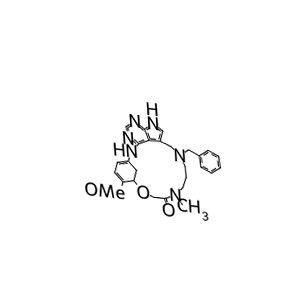 COC1=CC=C2CC1OCC(=O)N(C)CCCN(Cc1ccccc1)Cc1c[nH]c3ncnc(c13)N2